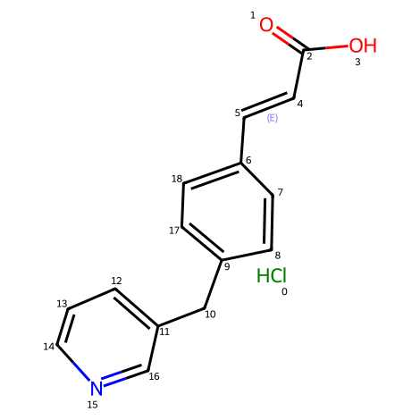 Cl.O=C(O)/C=C/c1ccc(Cc2cccnc2)cc1